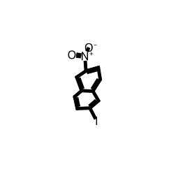 O=[N+]([O-])c1ccc2cc(I)ccc2c1